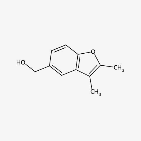 Cc1oc2ccc(CO)cc2c1C